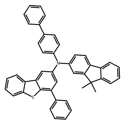 CC1(C)c2ccccc2-c2ccc(N(c3ccc(-c4ccccc4)cc3)c3cc(-c4ccccc4)c4sc5ccccc5c4c3)cc21